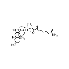 C[C@H](CCC(=O)NCCCCCC(N)=O)[C@H]1CC[C@H]2[C@@H]3[C@@H](O)C[C@@H]4C[C@H](O)CC[C@]4(C)[C@H]3CC[C@]12C